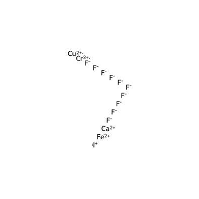 [Ca+2].[Cr+3].[Cu+2].[F-].[F-].[F-].[F-].[F-].[F-].[F-].[F-].[F-].[F-].[Fe+2].[I+]